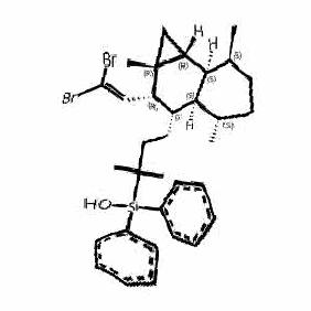 C[C@H]1CC[C@H](C)[C@H]2[C@@H]1[C@H](CCC(C)(C)[Si](O)(c1ccccc1)c1ccccc1)[C@H](C=C(Br)Br)[C@]1(C)C[C@H]21